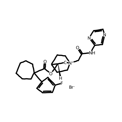 O=C(C[N+]12CCC(CC1)[C@@H](OC(=O)C1(c3cccc(F)c3)CCCCCC1)C2)Nc1cnccn1.[Br-]